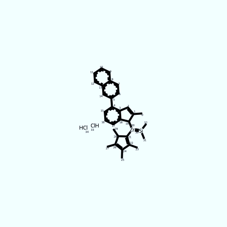 CC1=Cc2c(-c3ccc4ccccc4c3)cccc2[CH]1[Zr]([C]1=C(C)C(C)=C(C)C1C)=[Si](C)C.Cl.Cl